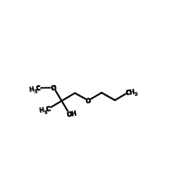 CCCOCC(C)(O)OC